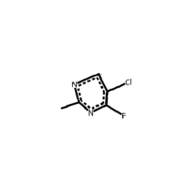 Cc1n[c]c(Cl)c(F)n1